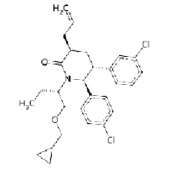 C=CC[C@H]1C[C@H](c2cccc(Cl)c2)[C@@H](c2ccc(Cl)cc2)N([C@@H](CC)COCC2CC2)C1=O